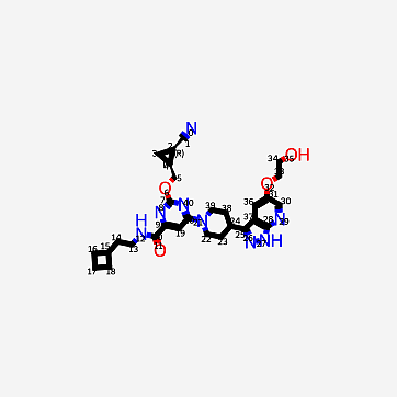 N#C[C@@H]1C[C@@H]1COc1nc(C(=O)NCCC2CCC2)cc(N2CCC(c3n[nH]c4ncc(OCCO)cc34)CC2)n1